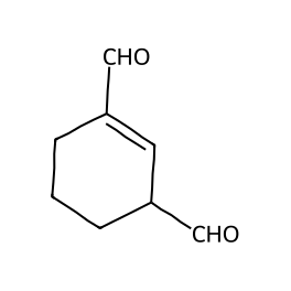 O=CC1=CC(C=O)CCC1